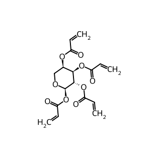 C=CC(=O)O[C@H]1OC[C@@H](OC(=O)C=C)[C@@H](OC(=O)C=C)[C@@H]1OC(=O)C=C